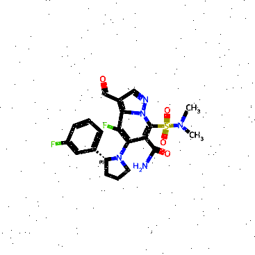 CN(C)S(=O)(=O)c1c(C(N)=O)c(N2CCC[C@@H]2c2cccc(F)c2)c(F)c2c([C]=O)cnn12